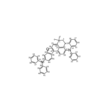 CC1(C)CCc2c(N(c3ccccc3)c3ccccc3)ccc3c2c1cc1oc2cc(N(c4ccccc4)c4ccccc4)ccc2c13